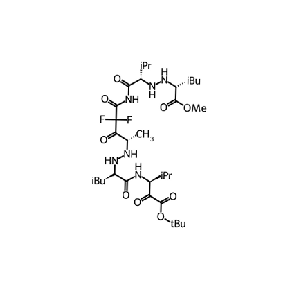 CC[C@H](C)C(NN[C@@H](C)C(=O)C(F)(F)C(=O)NC(=O)[C@@H](NNC(C(=O)OC)[C@@H](C)CC)C(C)C)C(=O)N[C@H](C(=O)C(=O)OC(C)(C)C)C(C)C